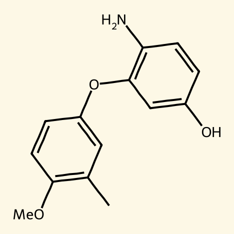 COc1ccc(Oc2cc(O)ccc2N)cc1C